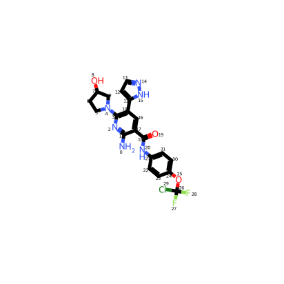 Nc1nc(N2CCC(O)C2)c(-c2ccn[nH]2)cc1C(=O)Nc1ccc(OC(F)(F)Cl)cc1